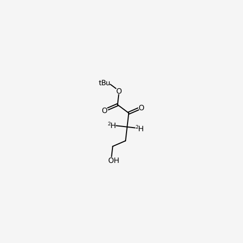 [2H]C([2H])(CCO)C(=O)C(=O)OC(C)(C)C